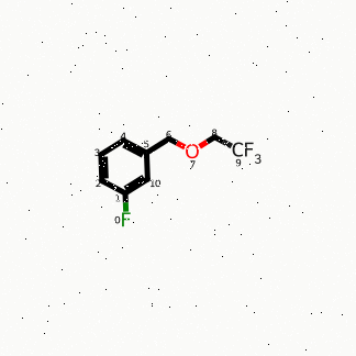 Fc1cccc(COCC(F)(F)F)c1